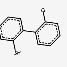 Sc1ccccc1-c1ccccc1Cl